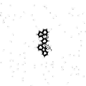 CC1(C)c2ccccc2-c2cccc(-c3ccc4c(c3)-c3cccc5cccc(c35)O4)c21